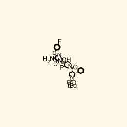 CC(C)(C)OC(=O)N1CC[C@@H](C(=O)N2CCC(O)(Cn3cnc(Oc4ccc(F)cc4)c(N)c3=O)C(F)C2)[C@H](c2ccccc2)C1